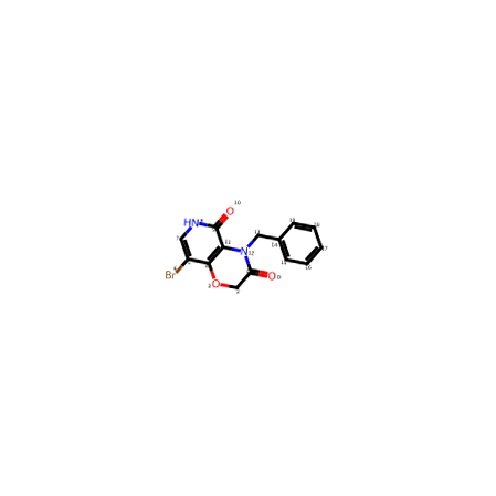 O=C1COc2c(Br)c[nH]c(=O)c2N1Cc1ccccc1